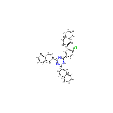 Clc1ccc(-c2nc(-c3ccc4ccccc4c3)nc(-c3ccc4ccccc4c3)n2)cc1-c1ccc2ccccc2c1